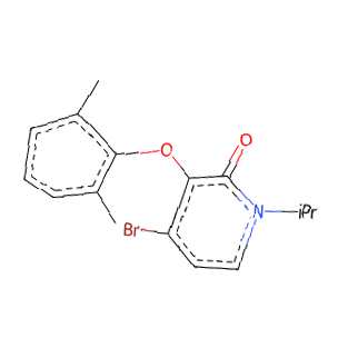 Cc1cccc(C)c1Oc1c(Br)ccn(C(C)C)c1=O